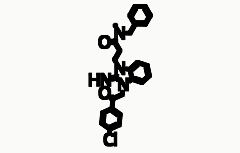 CN(Cc1ccccc1)C(=O)CCn1c(=N)n(CC(=O)c2ccc(Cl)cc2)c2ccccc21